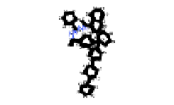 C=C(/N=C(\N=C(/C)c1cccc2ccccc12)C1=CCCC=C1)c1ccc(C2(c3ccc(-c4ccc(C5=CCCC=C5)cc4)cc3)CCCCC2)cc1